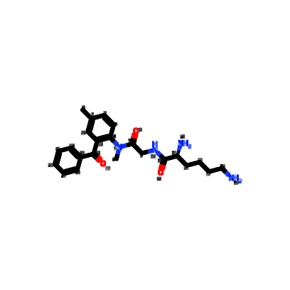 Cc1ccc(N(C)C(=O)CNC(=O)[C@@H](N)CCCCN)c(C(=O)c2ccccc2)c1